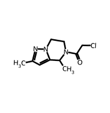 Cc1cc2n(n1)CCN(C(=O)CCl)C2C